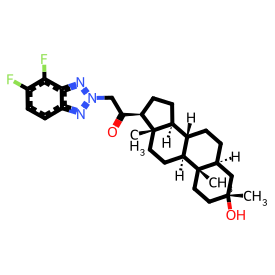 C[C@@]1(O)CC[C@@]2(C)[C@@H](CC[C@@H]3[C@@H]2CC[C@]2(C)[C@@H](C(=O)Cn4nc5ccc(F)c(F)c5n4)CC[C@@H]32)C1